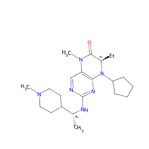 CC[C@@H]1C(=O)N(C)c2cnc(N[C@H](C)C3CCN(C)CC3)nc2N1C1CCCC1